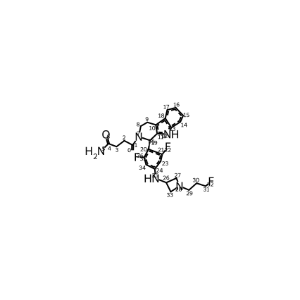 C=C(CCC(N)=O)N1CCc2c([nH]c3ccccc23)[C@H]1c1c(F)cc(NC2CN(CCCF)C2)cc1F